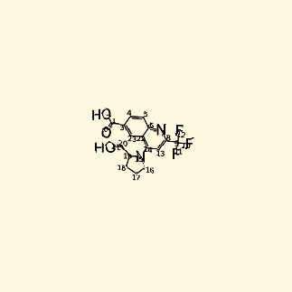 O=C(O)c1ccc2nc(C(F)(F)F)cc(N3CCC[C@H]3CO)c2c1